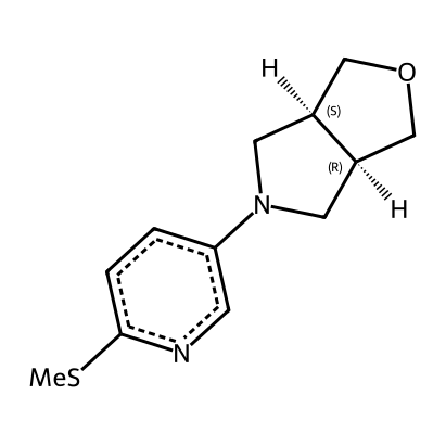 CSc1ccc(N2C[C@H]3COC[C@H]3C2)cn1